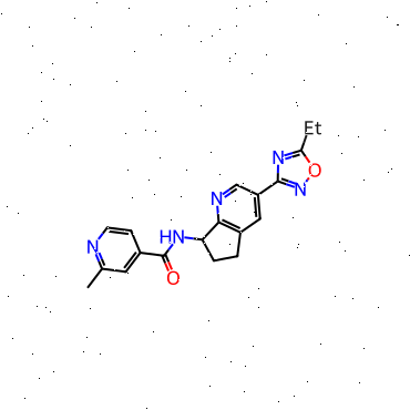 CCc1nc(-c2cnc3c(c2)CCC3NC(=O)c2ccnc(C)c2)no1